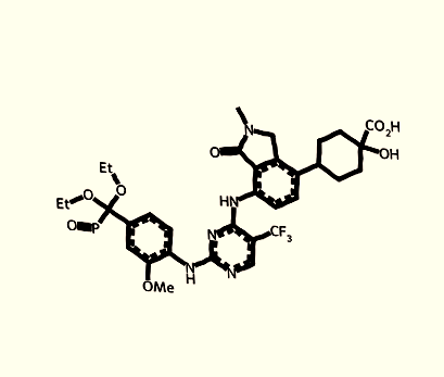 CCOC(OCC)(P=O)c1ccc(Nc2ncc(C(F)(F)F)c(Nc3ccc(C4CCC(O)(C(=O)O)CC4)c4c3C(=O)N(C)C4)n2)c(OC)c1